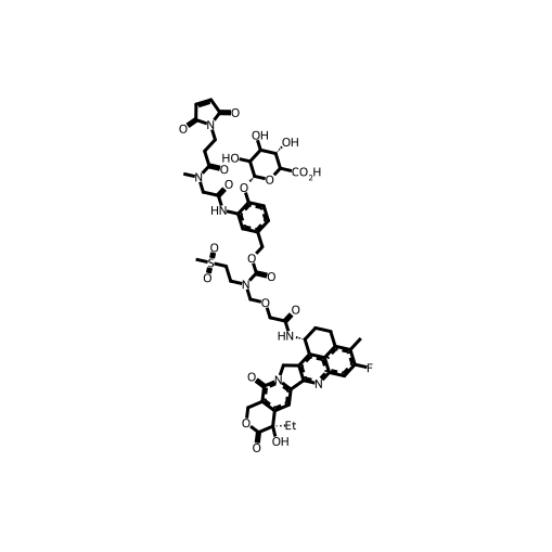 CC[C@]1(O)C(=O)OCc2c1cc1n(c2=O)Cc2c-1nc1cc(F)c(C)c3c1c2[C@H](NC(=O)COCN(CCS(C)(=O)=O)C(=O)OCc1ccc(O[C@H]2OC(C(=O)O)[C@@H](O)C(O)C2O)c(NC(=O)CN(C)C(=O)CCN2C(=O)C=CC2=O)c1)CC3